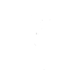 O=C(NC(=S)Nc1cc(Cl)c(O)c(Cl)c1)C12CC3CC(CC(C3)C1)C2